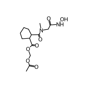 CC(=O)OCOC(=O)C1CCCCC1C(=O)N(C)CC(=O)NO